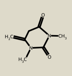 C=C1CC(=O)N(C)C(=O)N1C